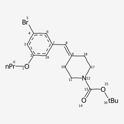 CCCOc1cc(Br)cc(C=C2CCN(C(=O)OC(C)(C)C)CC2)c1